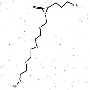 CCCCC1C(=O)N1COCCOCCOCCOC